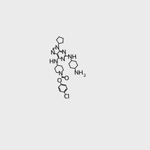 NC1CCC(Nc2nc(NC3CCN(C(=O)Oc4ccc(Cl)cc4)CC3)c3ncn(C4CCCC4)c3n2)CC1